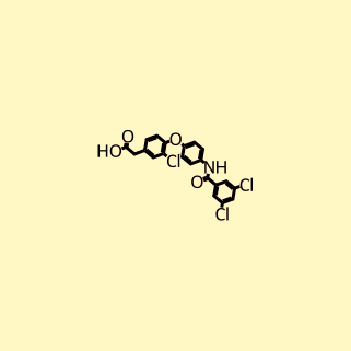 O=C(O)Cc1ccc(Oc2ccc(NC(=O)c3cc(Cl)cc(Cl)c3)cc2)c(Cl)c1